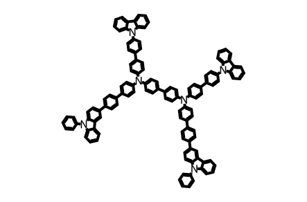 c1ccc(-n2c3ccccc3c3cc(-c4ccc(-c5ccc(N(c6ccc(-c7ccc(N(c8ccc(-c9ccc(-c%10ccc%11c(c%10)c%10ccccc%10n%11-c%10ccccc%10)cc9)cc8)c8ccc(-c9ccc(-n%10c%11ccccc%11c%11ccccc%11%10)cc9)cc8)cc7)cc6)c6ccc(-c7ccc(-n8c9ccccc9c9ccccc98)cc7)cc6)cc5)cc4)ccc32)cc1